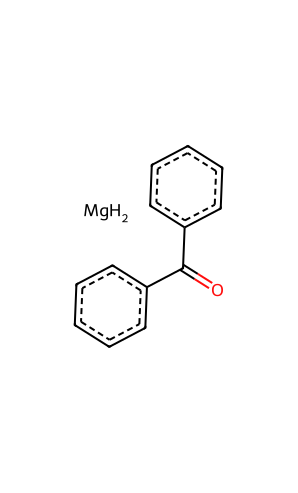 O=C(c1ccccc1)c1ccccc1.[MgH2]